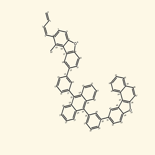 C=C/C=C\c1ccc2oc3ccc(-c4cccc(-c5c6ccccc6c(-c6cccc(-c7ccc8oc9ccc%10ccccc%10c9c8c7)c6)c6ccccc56)c4)cc3c2c1C